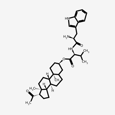 CC(=O)[C@H]1CC[C@H]2[C@@H]3CCC4C[C@H](OC(=O)[C@@H](NC(=O)[C@@H](N)Cc5c[nH]c6ccccc56)C(C)C)CC[C@]4(C)[C@H]3CC[C@]12C